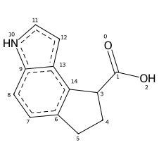 O=C(O)C1CCc2ccc3[nH]ccc3c21